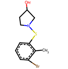 Cc1c(Br)cccc1SN1CCC(O)C1